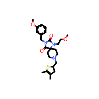 COCCN1C(=O)N(Cc2cccc(OC)c2)C(=O)C12CCN(CC1CC(C)=C(C)S1)CC2